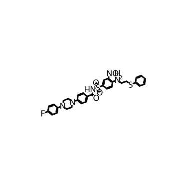 O=C(NS(=O)(=O)c1ccc(NCCSc2ccccc2)c([N+](=O)[O-])c1)c1ccc(N2CCN(c3ccc(F)cc3)CC2)cc1